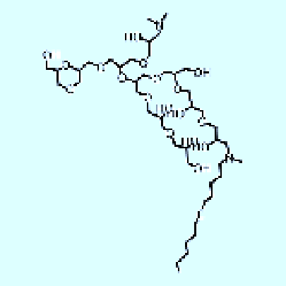 CCCCCCCCCCCCN(C)CC(O)COCC(O)COC(CO)COCC(COCC(O)COCC(O)CO)OC(COCC(O)CN(C)C)COCC1COCC(CO)O1